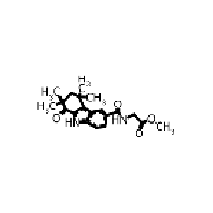 COC(=O)CNC(=O)c1ccc2[nH]c3c(c2c1)C(C)(C)CC(C)(C)C3=O